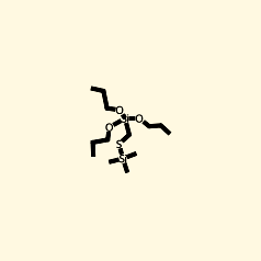 CCCO[Si](CS[Si](C)(C)C)(OCCC)OCCC